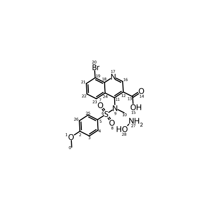 COc1ccc(S(=O)(=O)N(C)c2c(C(=O)O)cnc3c(Br)cccc23)cc1.NO